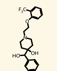 OC(c1ccccc1)C1(O)CCN(CCOc2ccccc2C(F)(F)F)CC1